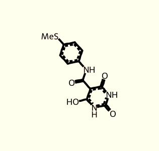 CSc1ccc(NC(=O)c2c(O)[nH]c(=O)[nH]c2=O)cc1